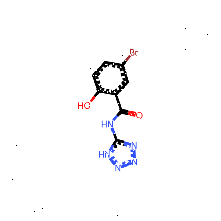 O=C(Nc1nnn[nH]1)c1cc(Br)ccc1O